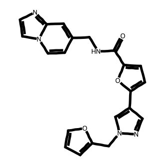 O=C(NCc1ccn2ccnc2c1)c1ccc(-c2cnn(Cc3ccco3)c2)o1